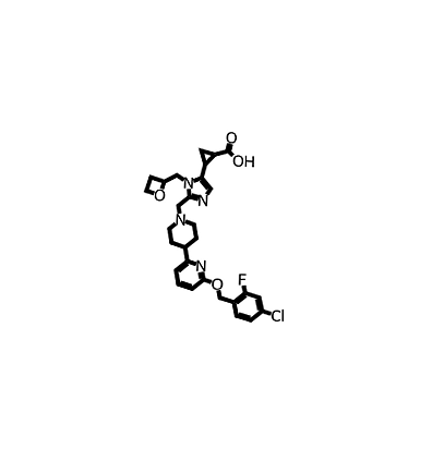 O=C(O)C1CC1c1cnc(CN2CCC(c3cccc(OCc4ccc(Cl)cc4F)n3)CC2)n1CC1CCO1